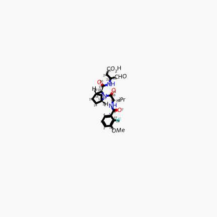 COc1cccc(C(=O)N[C@H](C(=O)N2[C@@H]3CC[C@@H](C3)[C@H]2C(=O)NC(C=O)CC(=O)O)C(C)C)c1F